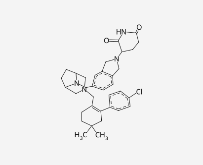 CC1(C)CCC(CN2CC3CCC(C2)N3Cc2ccc3c(c2)CN(C2CCC(=O)NC2=O)C3)=C(c2ccc(Cl)cc2)C1